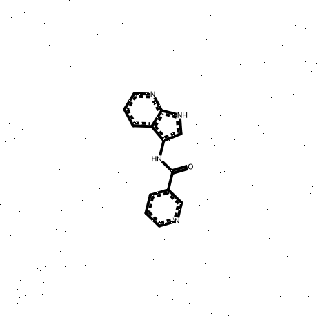 O=C(Nc1c[nH]c2ncccc12)c1cccnc1